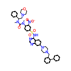 CN(C(=O)N(C)C(CN1CCOCC1)c1ccccc1)c1ccc(S(=O)(=O)Nc2ncnc3cc(N4CCN(Cc5ccccc5-c5ccccc5)CC4)ccc23)cc1[N+](=O)[O-]